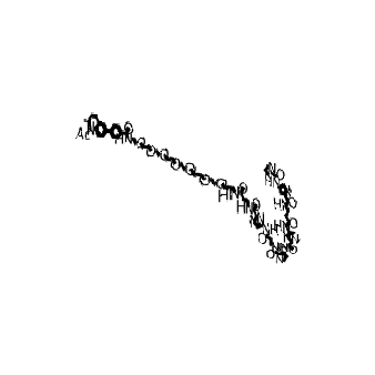 CC(=O)N1c2ccc(-c3ccc(C(=O)NCCOCCOCCOCCOCCOCCOCCOCCNC(=O)CCNC(=O)c4nc(NC(=O)CCNC(=O)c5c(NC(=O)c6nc(NC(=O)CCNC(=O)c7cc(NC(=O)c8nccn8C)cn7C)cn6C)ccn5C)cn4C)cc3)cc2CC[C@@H]1C